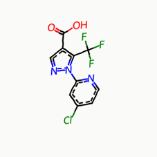 O=C(O)c1cnn(-c2cc(Cl)ccn2)c1C(F)(F)F